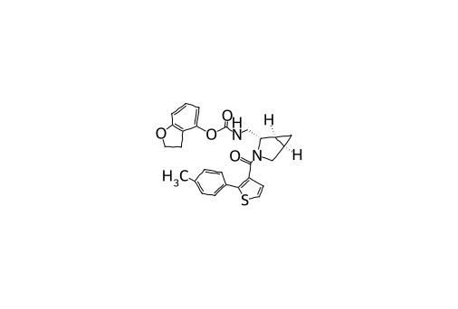 Cc1ccc(-c2sccc2C(=O)N2C[C@@H]3C[C@@H]3[C@H]2CNC(=O)Oc2cccc3c2CCO3)cc1